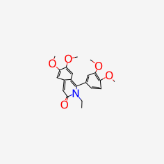 CCn1c(-c2ccc(OC)c(OC)c2)c2cc(OC)c(OC)cc2cc1=O